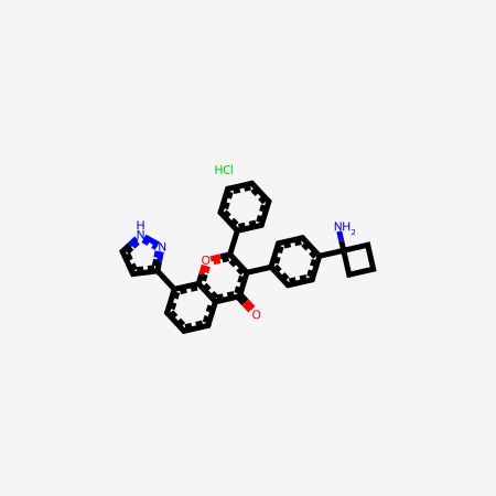 Cl.NC1(c2ccc(-c3c(-c4ccccc4)oc4c(-c5cc[nH]n5)cccc4c3=O)cc2)CCC1